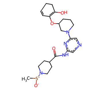 C[S+]([O-])N1CCC(C(=O)Nc2cncc(N3CCCC(OC4=C(O)CCC=C4)C3)n2)CC1